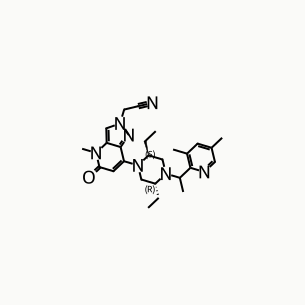 CC[C@H]1CN(C(C)c2ncc(C)cc2C)[C@H](CC)CN1c1cc(=O)n(C)c2cn(CC#N)nc12